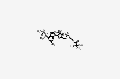 CCCCC(C)(C)C(=O)SCCOP1(=O)OCC2OC(n3cnc4c(N(C)NS(C)(=O)=O)nc(N)nc43)[C@](C)(O)[C@@H]2O1